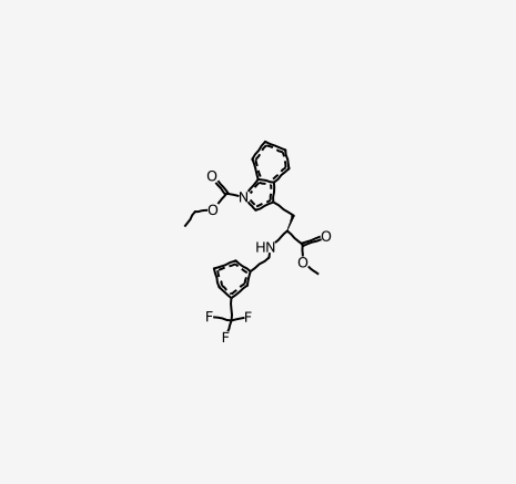 CCOC(=O)n1cc(C[C@H](NCc2cccc(C(F)(F)F)c2)C(=O)OC)c2ccccc21